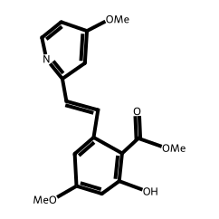 COC(=O)c1c(O)cc(OC)cc1C=Cc1cc(OC)ccn1